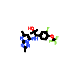 Cc1cc(N[C@@H](c2ccc(OC(F)(F)F)c(F)c2)C(C)(C)O)n2nc(C)nc2n1